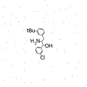 CC(C)(C)c1cccc(CC(N)C(O)c2cccc(Cl)c2)c1